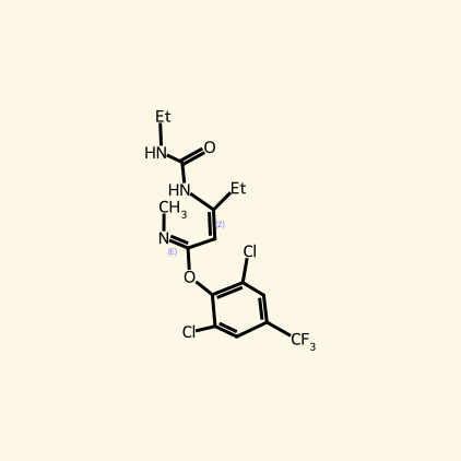 CCNC(=O)N/C(=C\C(=N/C)Oc1c(Cl)cc(C(F)(F)F)cc1Cl)CC